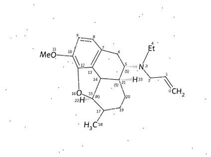 C=CCN(CC)[C@H]1Cc2ccc(OC)c3c2C2[C@H](O3)C(C)CC[C@@H]21